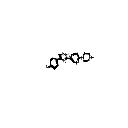 CN1CCN(c2ccc(-c3nc(-c4ccc(F)cc4)c[nH]3)cn2)CC1